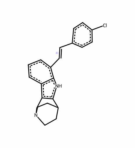 Clc1ccc(/C=C/c2cccc3c4c([nH]c23)C2CCN(CC2)C4)cc1